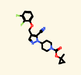 CC1(OC(=O)N2CCC(n3ncc(COc4cccc(F)c4F)c3C#N)CC2)CC1